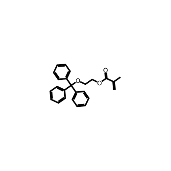 C=C(C)C(=O)OCCOC(c1ccccc1)(c1ccccc1)c1ccccc1